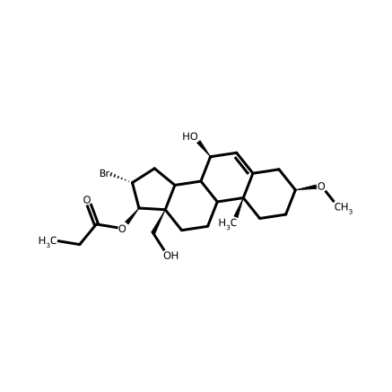 CCC(=O)O[C@H]1[C@H](Br)CC2C3C(CC[C@@]21CO)[C@@]1(C)CC[C@H](OC)CC1=C[C@@H]3O